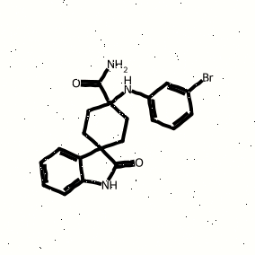 NC(=O)C1(Nc2cccc(Br)c2)CCC2(CC1)C(=O)Nc1ccccc12